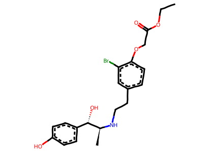 CCOC(=O)COc1ccc(CCN[C@@H](C)[C@@H](O)c2ccc(O)cc2)cc1Br